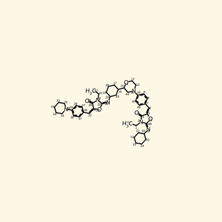 CCN1C(=O)/C(=C\c2ccc(N3CCOC(C4CCCC(/N=C5/O/C(=C/c6ccc(N7CCCCC7)cc6)C(=O)N5CC)C4)C3)cc2)O/C1=N/C1CCCCC1